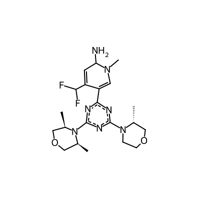 C[C@@H]1COCCN1c1nc(C2=CN(C)C(N)C=C2C(F)F)nc(N2[C@H](C)COC[C@@H]2C)n1